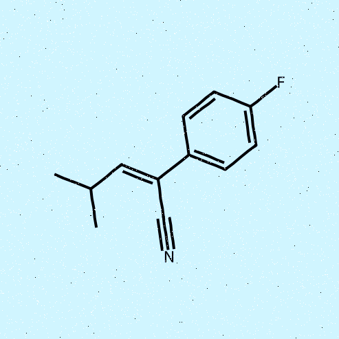 CC(C)/C=C(\C#N)c1ccc(F)cc1